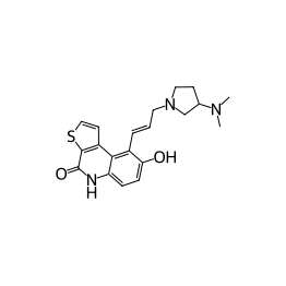 CN(C)C1CCN(CC=Cc2c(O)ccc3[nH]c(=O)c4sccc4c23)C1